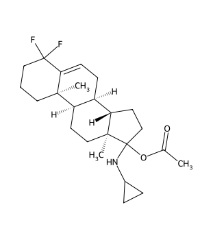 CC(=O)OC1(NC2CC2)CC[C@H]2[C@@H]3CC=C4C(F)(F)CCC[C@]4(C)[C@@H]3CC[C@@]21C